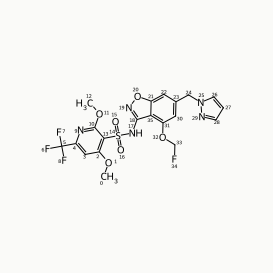 COc1cc(C(F)(F)F)nc(OC)c1S(=O)(=O)Nc1noc2cc(Cn3cccn3)cc(OCF)c12